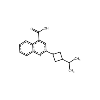 CC(C)C1CN(c2cc(C(=O)O)c3ccccc3n2)C1